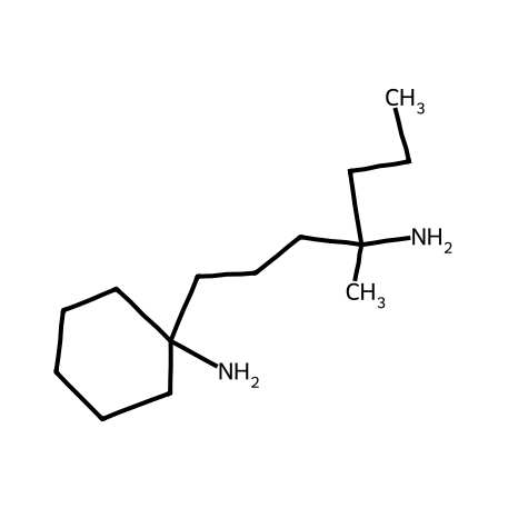 CCCC(C)(N)CCCC1(N)CCCCC1